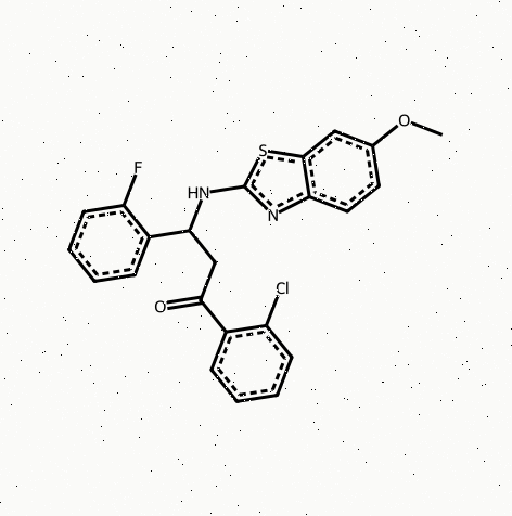 COc1ccc2nc(NC(CC(=O)c3ccccc3Cl)c3ccccc3F)sc2c1